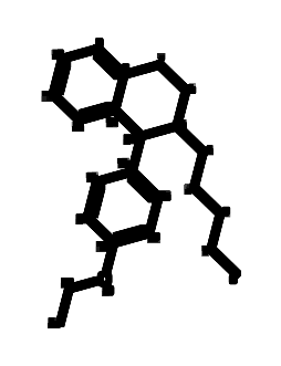 CCCCCC1CCc2ccccc2C1c1ccc(OCC)cc1